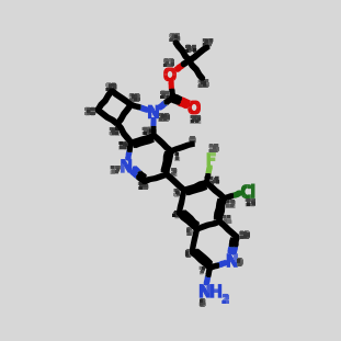 Cc1c(-c2cc3cc(N)ncc3c(Cl)c2F)cnc2c1N(C(=O)OC(C)(C)C)C1CCC21